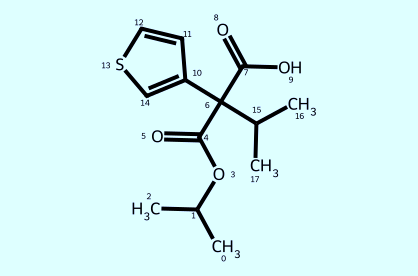 CC(C)OC(=O)C(C(=O)O)(c1ccsc1)C(C)C